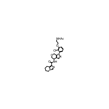 CC(=O)NCCOc1cccc(-n2ncc3c2COCC3NC(=O)c2ncn3c2CCCC3)c1Cl